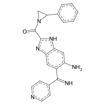 N=C(c1ccncc1)c1cc2nc(C(=O)N3CC3c3ccccc3)[nH]c2cc1N